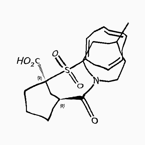 CC1CCN(C(=O)[C@H]2CCC[C@@]2(C(=O)O)S(=O)(=O)c2ccccc2)CC1